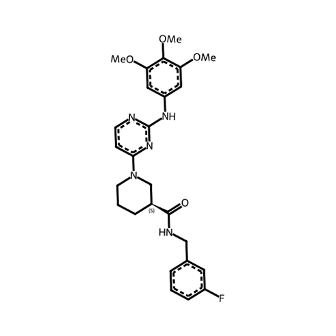 COc1cc(Nc2nccc(N3CCC[C@H](C(=O)NCc4cccc(F)c4)C3)n2)cc(OC)c1OC